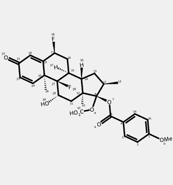 COc1ccc(C(=O)O[C@]2(OC(=O)O)[C@H](C)C[C@H]3[C@@H]4C[C@H](F)C5=CC(=O)C=C[C@]5(C)[C@@]4(F)[C@@H](O)C[C@@]32C)cc1